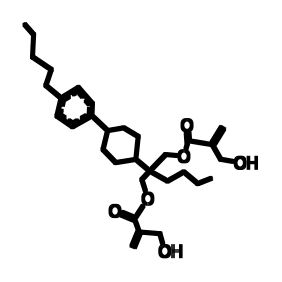 C=C(CO)C(=O)OCC(CCCC)(COC(=O)C(=C)CO)C1CCC(c2ccc(CCCCC)cc2)CC1